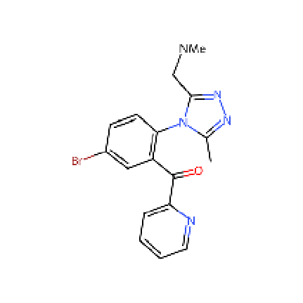 CNCc1nnc(C)n1-c1ccc(Br)cc1C(=O)c1ccccn1